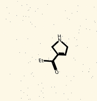 CCC(=O)C1=CCNC1